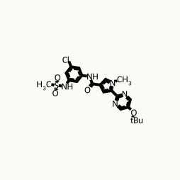 Cn1cc(C(=O)Nc2cc(Cl)cc(NS(C)(=O)=O)c2)cc1-c1ncc(OC(C)(C)C)cn1